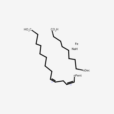 CCCCC/C=C\C/C=C\CCCCCCCC(=O)O.CCCCCCCCCCCCCCCCCC(=O)O.[Fe].[NaH]